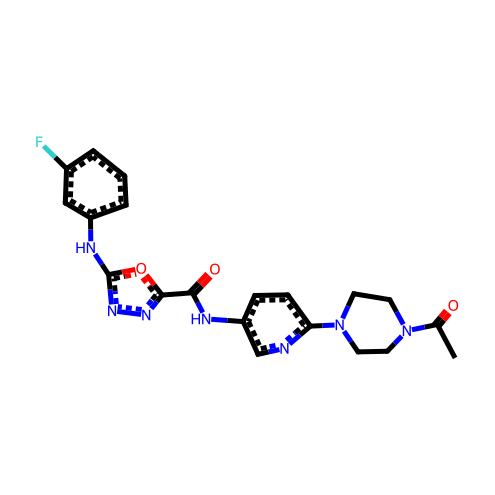 CC(=O)N1CCN(c2ccc(NC(=O)c3nnc(Nc4cccc(F)c4)o3)cn2)CC1